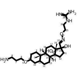 C[C@]12CCC(OCCCN)CC1CC[C@@H]1[C@H]2CC[C@]2(C)C(O)(/C=N/OCCNC(=N)N)CC[C@@]12O